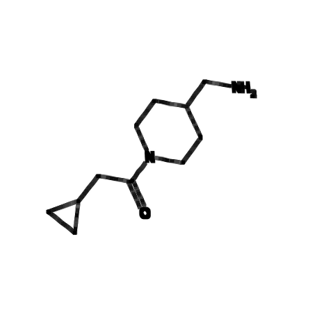 NCC1CCN(C(=O)CC2CC2)CC1